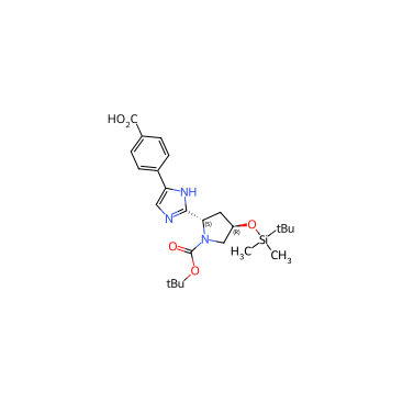 CC(C)(C)OC(=O)N1C[C@H](O[Si](C)(C)C(C)(C)C)C[C@H]1c1ncc(-c2ccc(C(=O)O)cc2)[nH]1